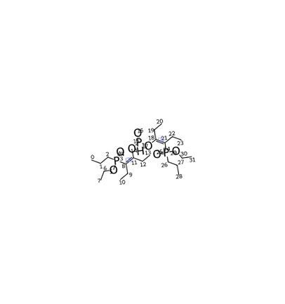 CCCP(=O)(OCC)/C(CC)=C(/CC)O[PH](=O)O/C(CC)=C(/CC)P(=O)(CCC)OCC